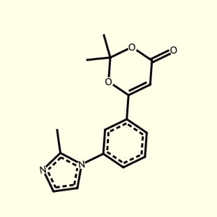 Cc1nccn1-c1cccc(C2=CC(=O)OC(C)(C)O2)c1